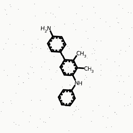 Cc1c(Nc2ccccc2)ccc(-c2ccc(N)cc2)c1C